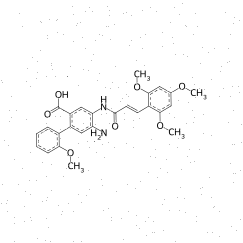 COc1cc(OC)c(C=CC(=O)Nc2cc(C(=O)O)c(-c3ccccc3OC)cc2N)c(OC)c1